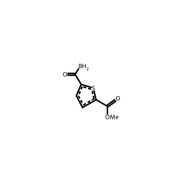 BC(=O)c1ccc(C(=O)OC)s1